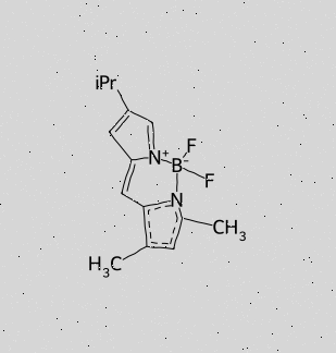 Cc1cc(C)n2c1C=C1C=C(C(C)C)C=[N+]1[B-]2(F)F